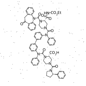 CCOC(=O)NS(=O)(=O)[C@@H]1CN(C(=O)N(c2ccccc2)c2cccc(-c3cccc(N(C(=O)N4CCN(C(=O)N5CCC[C@@H]5c5ccccc5)C[C@H]4C(=O)O)c4ccccc4)c3)c2)CCN1C(=O)N1c2ccccc2CC(=O)c2ccccc21